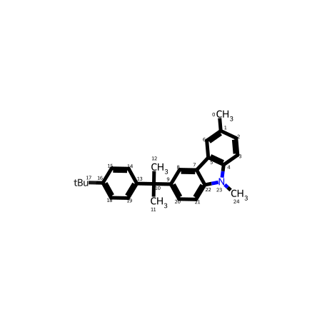 Cc1ccc2c(c1)c1cc(C(C)(C)c3ccc(C(C)(C)C)cc3)ccc1n2C